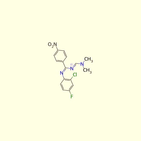 CN(C)/C=N/C(=Nc1ccc(F)cc1Cl)c1ccc([N+](=O)[O-])cc1